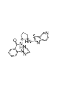 O=C(N[C@@H]1CCC[C@H]1Nc1nc2ccncc2s1)c1ccccc1-n1nccn1